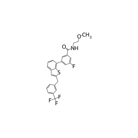 COCCNC(=O)c1cc(F)cc(-c2cccc3cc(Cc4cccc(C(F)(F)F)c4)sc23)c1